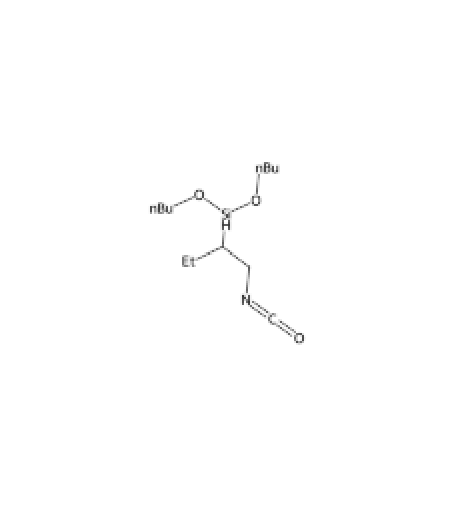 CCCCO[SiH](OCCCC)C(CC)CN=C=O